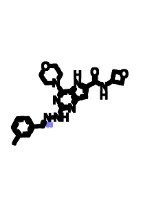 Cc1cccc(/C=N/Nc2nc(N3CCOCC3)c3[nH]c(C(=O)NC4COC4)cc3n2)c1